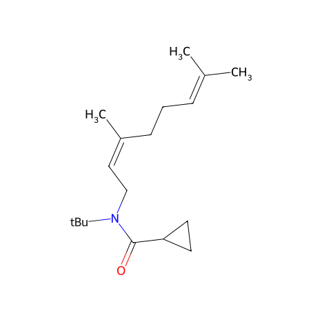 CC(C)=CCC/C(C)=C\CN(C(=O)C1CC1)C(C)(C)C